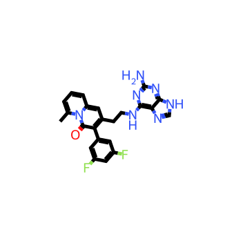 Cc1cccc2cc(CCNc3nc(N)nc4[nH]cnc34)c(-c3cc(F)cc(F)c3)c(=O)n12